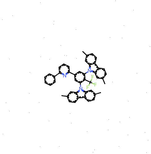 Cc1ccc2c3ccc(C)cc3n(-c3cc(-c4cccc(-c5ccccc5)n4)cc(-n4c5cc(C)ccc5c5ccc(C)cc54)c3C(F)(F)F)c2c1